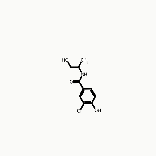 CC(CO)NC(=O)c1ccc(O)c(Cl)c1